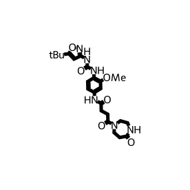 COc1cc(NC(=O)CCC(=O)N2CCNC(=O)CC2)ccc1NC(=O)Nc1cc(C(C)(C)C)on1